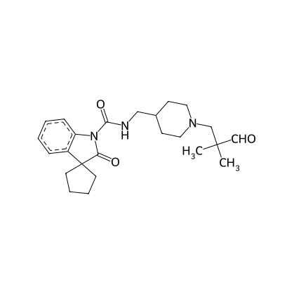 CC(C)(C=O)CN1CCC(CNC(=O)N2C(=O)C3(CCCC3)c3ccccc32)CC1